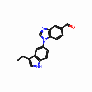 CCc1c[nH]c2ccc(-n3cnc4cc(C=O)ccc43)cc12